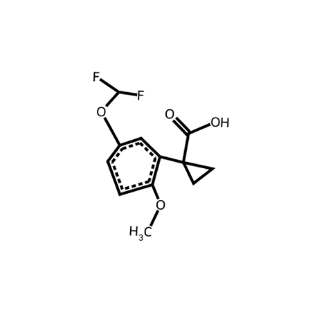 COc1ccc(OC(F)F)cc1C1(C(=O)O)CC1